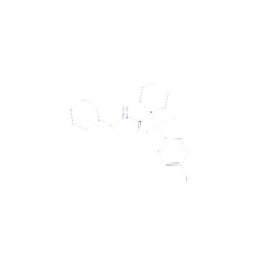 O=C(NOC1CCCCO1)C1(S(=O)(=O)c2ccc(F)cc2)CCSCC1